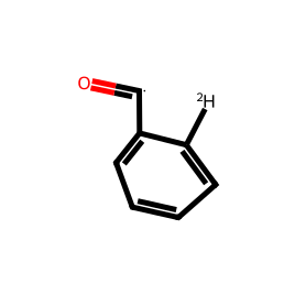 [2H]c1ccccc1[C]=O